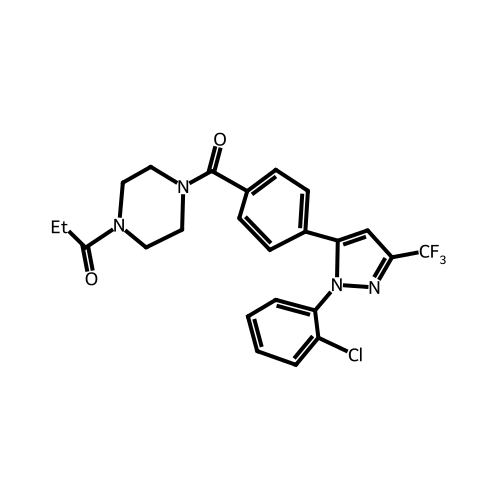 CCC(=O)N1CCN(C(=O)c2ccc(-c3cc(C(F)(F)F)nn3-c3ccccc3Cl)cc2)CC1